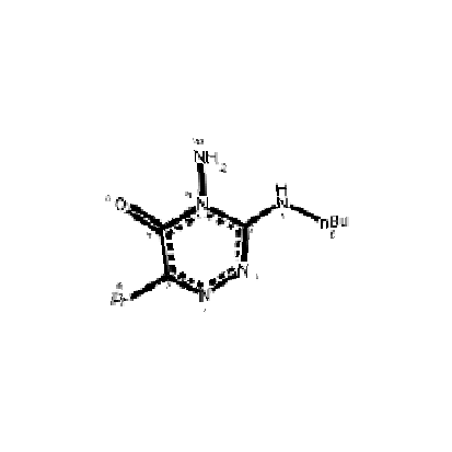 CCCCNc1nnc(C(C)C)c(=O)n1N